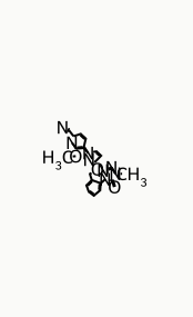 COc1nc(C#N)ccc1-n1ccc(OCc2ccccc2-n2nnn(C)c2=O)n1